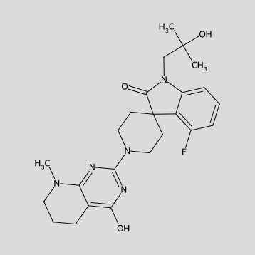 CN1CCCc2c(O)nc(N3CCC4(CC3)C(=O)N(CC(C)(C)O)c3cccc(F)c34)nc21